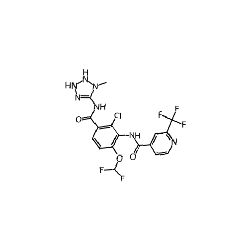 CN1NNN=C1NC(=O)c1ccc(OC(F)F)c(NC(=O)c2ccnc(C(F)(F)F)c2)c1Cl